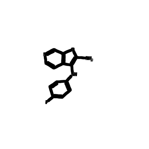 Nc1oc2cnccc2c1Nc1ccc(F)cc1